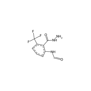 NNC(=O)c1c(N[C]=O)cccc1C(F)(F)F